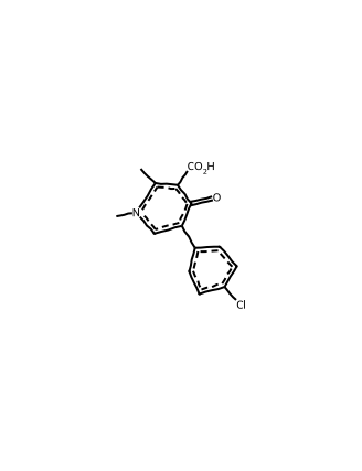 Cc1c(C(=O)O)c(=O)c(-c2ccc(Cl)cc2)cn1C